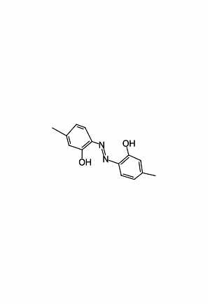 Cc1ccc(N=Nc2ccc(C)cc2O)c(O)c1